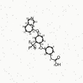 O=C(O)Cc1cccc(Oc2ccc(Oc3cccc4cncn34)cc2C(F)(F)F)c1